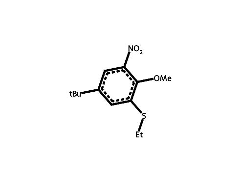 CCSc1cc(C(C)(C)C)cc([N+](=O)[O-])c1OC